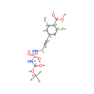 COC(=O)c1c(F)cc(C#CCNS(=O)(=O)NC(=O)OC(C)(C)C)cc1F